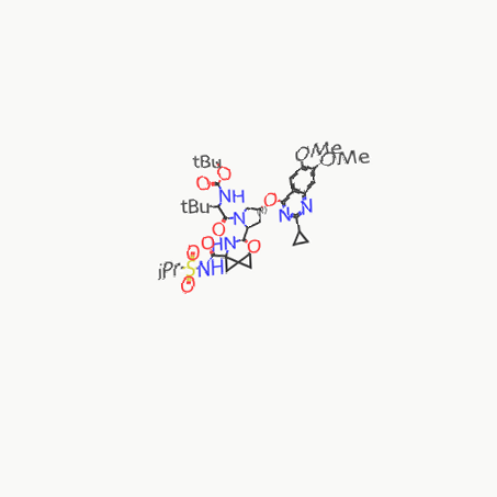 COc1cc2nc(C3CC3)nc(O[C@@H]3CC(C(=O)NC4(C(=O)NS(=O)(=O)C(C)C)CC45CC5)N(C(=O)C(NC(=O)OC(C)(C)C)C(C)(C)C)C3)c2cc1OC